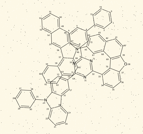 c1ccc(-c2cccc(-c3nc(-c4ccc5c(c4)c4ccccc4n5-c4ccccc4)nc(-c4cccc5oc6ccc7ccc(-n8c9cc%10ccccc%10cc9c9c%10ccccc%10ccc98)cc7c6c45)n3)c2)cc1